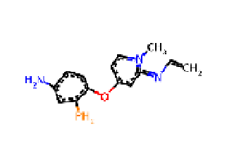 C=C/N=c1/cc(Oc2ccc(N)cc2P)ccn1C